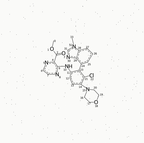 COC(=O)c1nccnc1Nc1ccc(N2CCOCC2)c(Cl)c1-c1cccc2c1ncn2C